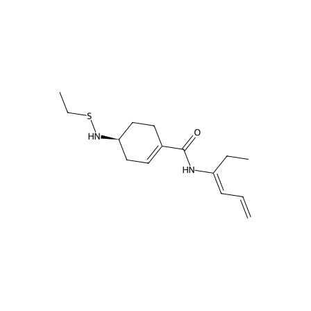 C=C/C=C(\CC)NC(=O)C1=CC[C@@H](NSCC)CC1